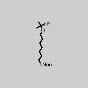 CCCCCCCCCCCCCCCCOC(C)(C)CCC